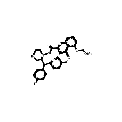 COCOc1cccc2oc(C(=O)NN3CCNCC3C(c3ccc(F)cc3)c3ccc(F)cc3)cc(=O)c12